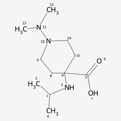 CC(C)NC1(C(=O)O)CCN(N(C)C)CC1